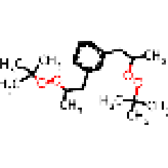 CC(Cc1cccc(CC(C)OOC(C)(C)C)c1)OOC(C)(C)C